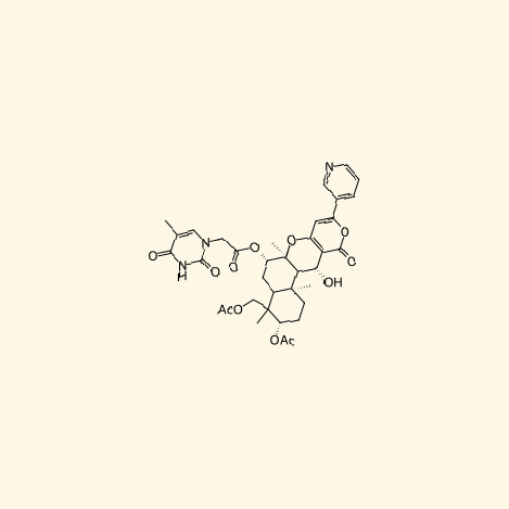 CC(=O)OCC1(C)C2C[C@H](OC(=O)Cn3cc(C)c(=O)[nH]c3=O)[C@@]3(C)Oc4cc(-c5cccnc5)oc(=O)c4[C@H](O)C3[C@@]2(C)CC[C@@H]1OC(C)=O